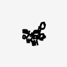 CN1C(S)=NC(=O)C(C(C)(C)C)N1O[SiH](c1ccccc1)c1ccccc1